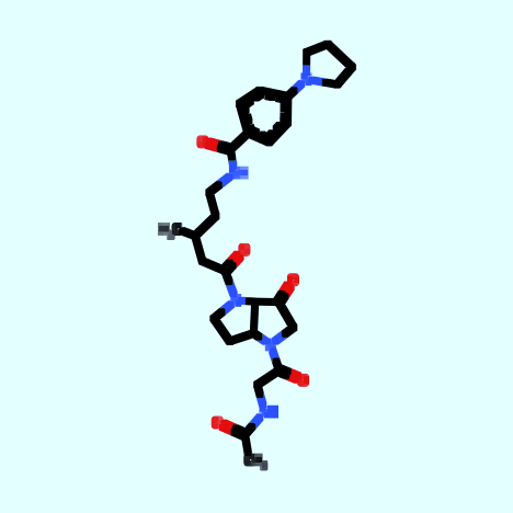 CC(=O)NCC(=O)N1CC(=O)C2C1CCN2C(=O)CC(C)CCNC(=O)c1ccc(N2CCCC2)cc1